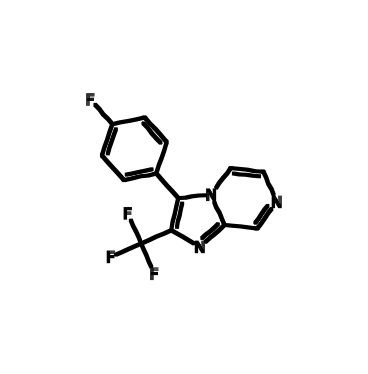 Fc1ccc(-c2c(C(F)(F)F)nc3cnccn23)cc1